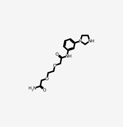 NC(=O)COCCOCC(=O)Nc1cccc(N2CCNC2)c1